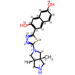 C[C@@]12CNC[C@@H]1CN(c1nnc(-c3cc4ccc(O)cc4cc3O)s1)C2